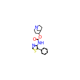 O=C(Nc1ncsc1-c1ccccc1)OC1CCN2CCC1C2